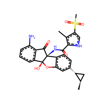 Cc1c(S(C)(=O)=O)c[nH]c1C(=O)N[C@]12C(=O)c3c(N)cccc3[C@@]1(O)Oc1cc([C@@H]3C[C@H]3C)ccc12